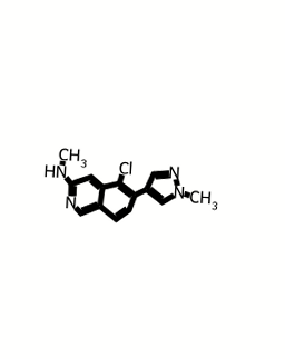 CNc1cc2c(Cl)c(-c3cnn(C)c3)ccc2cn1